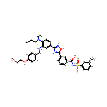 CC(C)CCN(C)c1ccc(-c2noc(-c3cccc(C(=O)NS(=O)(=O)c4cccc(C(=O)O)c4)c3)n2)cc1NCc1ccc(OCCO)cc1